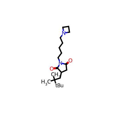 CC(C)(C)C(C)(C)CC1CC(=O)N(CCCCCN2CCC2)C1=O